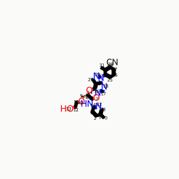 Cc1ccc(NC(=O)[C@H](COCCO)Oc2ncnc3c2cnn3-c2cccc(C#N)c2C)nc1